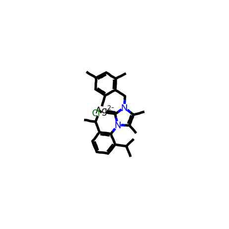 Cc1cc(C)c(Cn2c(C)c(C)n(-c3c(C(C)C)cccc3C(C)C)[c]2=[Ag-2][Cl])c(C)c1